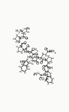 CC(C)C[C@H](NC(=O)[C@H](Cc1ccccc1)NC(=O)[C@@H]1CCCN1C(=O)[C@H](CCC(N)=O)NC(=O)[C@H](Cc1c[nH]c2ccccc12)NC(=O)[C@H](C)NC(=O)[C@@H]1CCCN1C(=O)[C@@H]1CCCN1C(=O)[C@@H](N)CC(C)C)C(=O)O